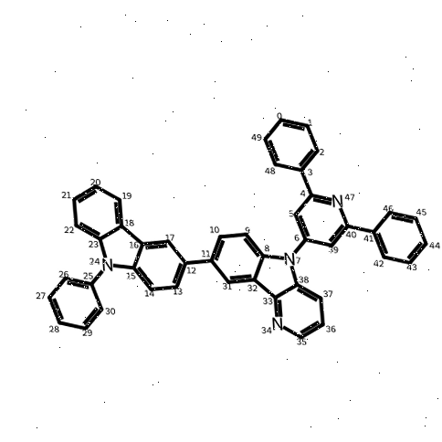 c1ccc(-c2cc(-n3c4ccc(-c5ccc6c(c5)c5ccccc5n6-c5ccccc5)cc4c4ncccc43)cc(-c3ccccc3)n2)cc1